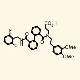 COc1ccc(CCN(CCC(=O)O)C(=O)c2ccccc2-c2ccccc2C(=O)NCc2c(F)cccc2F)cc1OC